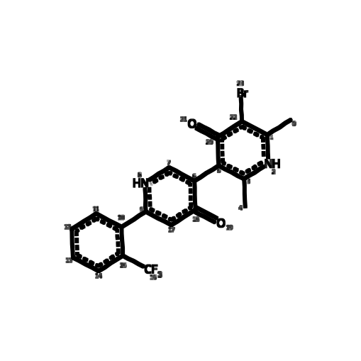 Cc1[nH]c(C)c(-c2c[nH]c(-c3ccccc3C(F)(F)F)cc2=O)c(=O)c1Br